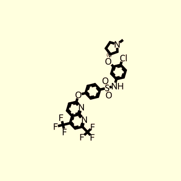 CN1CC[C@@H](Oc2cc(NS(=O)(=O)c3ccc(Oc4ccc5c(C(F)(F)F)cc(C(F)(F)F)nc5n4)cc3)ccc2Cl)C1